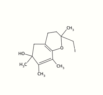 CC1=C(C)C(C)(O)CC2=C1OC(C)(CI)CC2